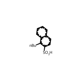 CCCCc1c(S(=O)(=O)O)ccc2ccccc12